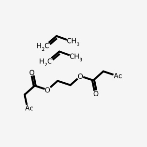 C=CC.C=CC.CC(=O)CC(=O)OCCOC(=O)CC(C)=O